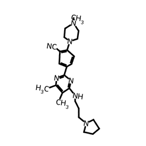 Cc1nc(-c2ccc(N3CCN(C)CC3)c(C#N)c2)nc(NCCCN2CCCC2)c1C